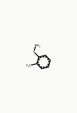 NSc1ccccc1C(F)(F)F